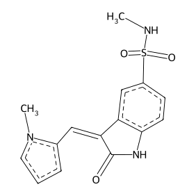 CNS(=O)(=O)c1ccc2c(c1)C(=Cc1cccn1C)C(=O)N2